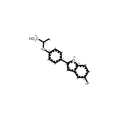 CC(Oc1ccc(-c2cc3cc(F)ccc3o2)cc1)C(=O)O